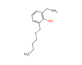 CCCCSCc1cccc(CC)c1O